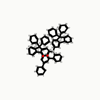 c1ccc(-c2cccc(-c3ccccc3N(c3ccc4c(c3)-c3ccccc3C4(c3ccccc3)c3ccccc3)c3ccc4c(c3)C(c3ccccc3)(c3ccccc3)c3ccccc3-4)c2)cc1